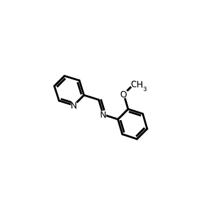 COc1ccccc1N=Cc1ccccn1